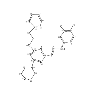 Cc1ccc(NN=Cc2nc(OCCc3ccccn3)nc(N3CCOCC3)n2)cc1C